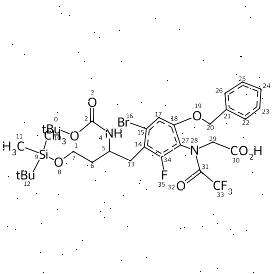 CC(C)(C)OC(=O)NC(CCO[Si](C)(C)C(C)(C)C)Cc1c(Br)cc(OCc2ccccc2)c(N(CC(=O)O)C(=O)C(F)(F)F)c1F